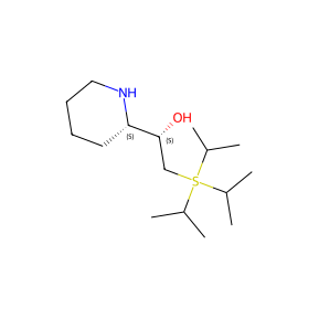 CC(C)S(C[C@@H](O)[C@@H]1CCCCN1)(C(C)C)C(C)C